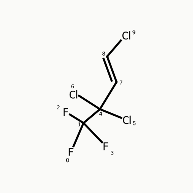 FC(F)(F)C(Cl)(Cl)C=CCl